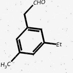 CCc1[c]c(C)cc(CC=O)c1